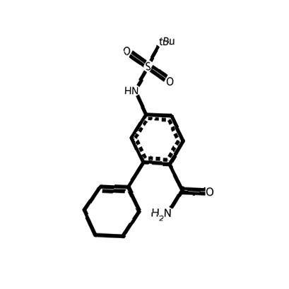 CC(C)(C)S(=O)(=O)Nc1ccc(C(N)=O)c(C2=CCCCC2)c1